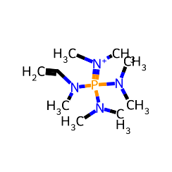 C=CN(C)P(N(C)C)(N(C)C)=[N+](C)C